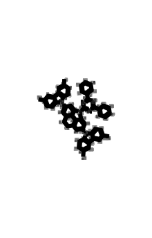 Cc1ccc2c(c1)c1cc(C)ccc1n2-c1cc2c3c4c(cc(-n5c6ccc(C)cc6c6cc(C)ccc65)cc4n(-c4nc(-c5ccccc5)nc(-c5ccccc5)n4)c3c1)CC2